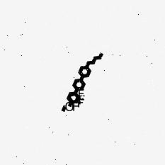 CCCCCC1CCC(C2CCC(C3=CC=C(OCC)C(F)(F)C3(F)F)CC2)CC1